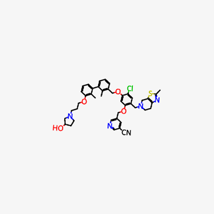 Cc1nc2c(s1)CN(Cc1cc(Cl)c(OCc3cccc(-c4cccc(OCCCN5CCC(O)C5)c4C)c3C)cc1OCc1cncc(C#N)c1)CC2